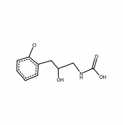 O=C(O)NCC(O)Cc1ccccc1Cl